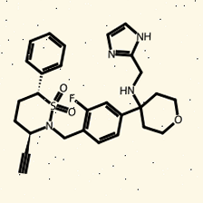 C#C[C@H]1CC[C@H](c2ccccc2)S(=O)(=O)N1Cc1ccc(C2(NCc3ncc[nH]3)CCOCC2)cc1F